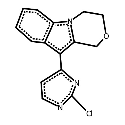 Clc1nccc(-c2c3n(c4ccccc24)CCOC3)n1